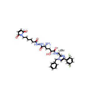 CC(C)(C)[C@@H](NC(=O)C(O)CC[C@H](N)C(=O)NNC(=O)CCCCCN1C(=O)C=CC1=O)c1nc(-c2cc(F)ccc2F)cn1Cc1ccccc1